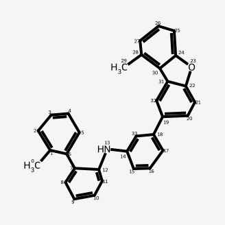 Cc1ccccc1-c1ccccc1Nc1cccc(-c2ccc3oc4cccc(C)c4c3c2)c1